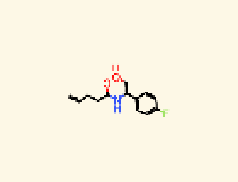 C=CCCC(=O)NC(CO)c1ccc(F)cc1